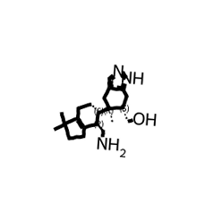 CC1(C)CCC2=C1CC[C@H]([C@@]1(C)Cc3cn[nH]c3C[C@@H]1CO)[C@H]2CN